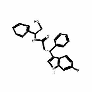 O=C(C[C@H](c1ccccc1)c1c[nH]c2cc(F)ccc12)NC(CO)c1ccccc1